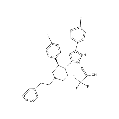 Fc1ccc([C@@H]2CN(CCc3ccccc3)CC[C@H]2c2cc(-c3ccc(Cl)cc3)[nH]n2)cc1.O=C(O)C(F)(F)F